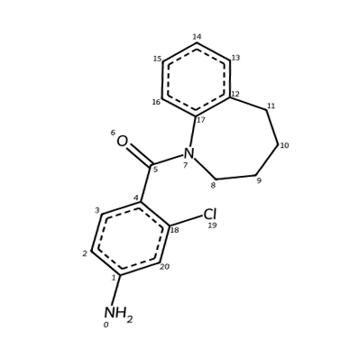 Nc1ccc(C(=O)N2CCCCc3ccccc32)c(Cl)c1